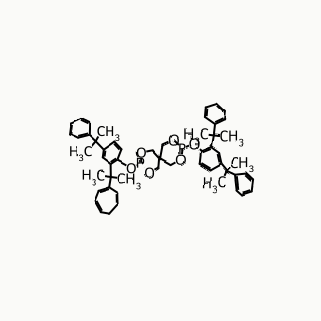 CC(C)(C1=CC=CCC=C1)c1cc(C(C)(C)c2ccccc2)ccc1OP1OCC2(CO1)COP(Oc1ccc(C(C)(C)c3ccccc3)cc1C(C)(C)c1ccccc1)OC2